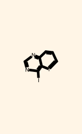 Ic1ncnc2c1I=CC=C2